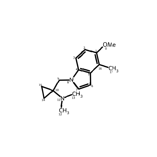 COc1ccc2c(ccn2CC2(N(C)C)CC2)c1C